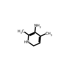 CC1=CCNC(C)=C1N